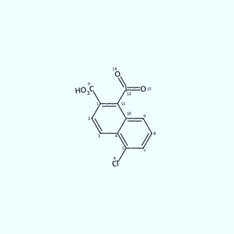 O=C(O)c1ccc2c(Cl)cccc2c1I(=O)=O